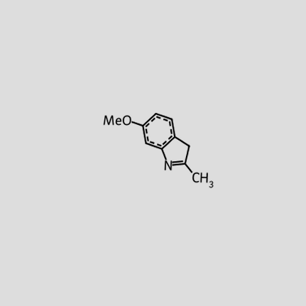 COc1ccc2c(c1)N=C(C)C2